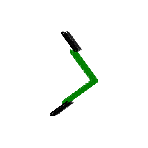 Cl.Cl.Cl.Cl.Cl.Cl.Cl.Cl.Cl.Cl.Cl.Cl.Cl.Cl.Cl.Cl.Cl.Cl.Cl.Cl.Cl.Cl.Cl.Cl.Cl.Cl.Cl.Cl.Cl.Cl.Cl.Cl.Cl.Cl.Cl.Cl.Cl.Cl.Cl.Cl.Cl.Cl.Cl.Cl.Cl.Cl.Cl.Cl.Cl.Cl.Cl.Cl.Cl.Cl.Cl.Cl.Cl.Cl.Cl.Cl.Cl.[Ca+2].[Ca+2].[Ca+2].[Ca+2].[Ca+2].[Ca+2].[Ca+2].[Ca+2].[Ca+2].[Ca+2].[Ca+2].[Ca+2].[Ca+2].[Ca+2].[Ca+2].[Ca+2].[Ca+2].[Ca+2].[Ca+2].[Ca+2].[Ca+2].[Ca+2].[Ca+2].[Ca+2].[Ca+2].[Ca+2].[Ca+2].[Ca+2].[Ca+2].[Ca+2].[Ca+2].[Ca+2].[Ca+2].[Ca+2].[Ca+2]